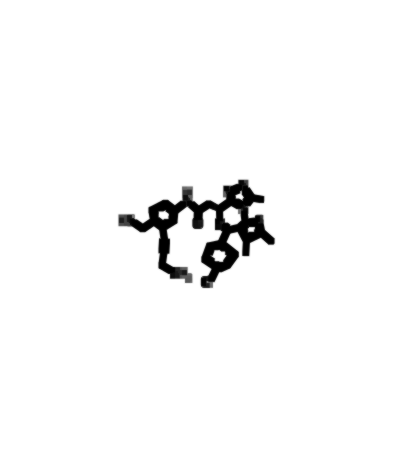 Cc1sc2c(c1C)C(c1ccc(Cl)cc1)=N[C@@H](CC(=O)Nc1ccc(CS)c(C#CCN)c1)c1nnc(C)n1-2